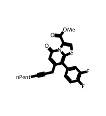 CCCCCC#CCc1cc(=O)n2c(C(=O)OC)csc2c1-c1ccc(F)c(F)c1